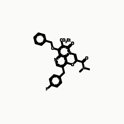 CCOC(=O)c1c(OCc2ccccc2)c2ncc(Cc3ccc(F)cc3)c3c2n(c1=O)C=C(C(=O)N(C)C)O3